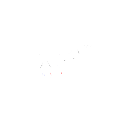 CCn1cc2c(c(N3C[C@@H](c4c(F)cc(OC)cc4P)CC3=O)c1=O)CCCC2